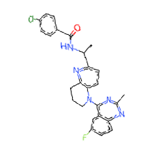 Cc1nc(N2CCCc3nc(C(C)NC(=O)c4ccc(Cl)cc4)ccc32)c2cc(F)ccc2n1